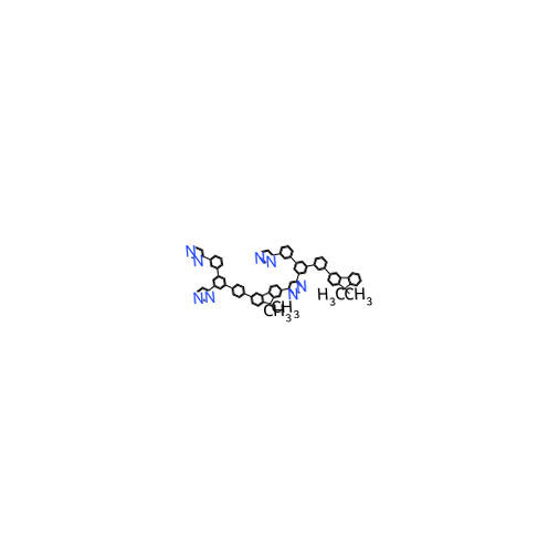 CC1(C)c2ccccc2-c2cc(-c3cccc(-c4cc(-c5cccc(-c6ccncn6)c5)cc(-c5cc(-c6ccc7c(c6)C(C)(C)c6ccc(-c8ccc(-c9cc(-c%10cccc(-c%11ccncn%11)c%10)cc(-c%10ccncn%10)c9)cc8)cc6-7)ncn5)c4)c3)ccc21